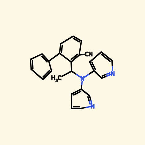 CC(c1c(C#N)cccc1-c1ccccc1)N(c1cccnc1)c1cccnc1